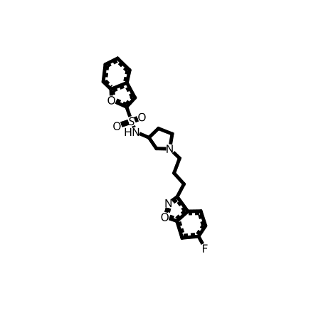 O=S(=O)(NC1CCN(CCCc2noc3cc(F)ccc23)C1)c1cc2ccccc2o1